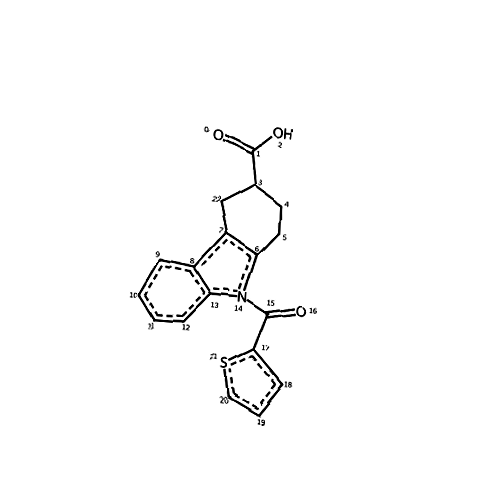 O=C(O)C1CCc2c(c3ccccc3n2C(=O)c2cccs2)C1